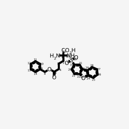 NC(CCCC(=O)OCc1ccccc1)(NS(=O)(=O)c1ccc2oc3ccccc3c2c1)C(=O)O